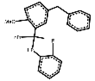 CCCC(C)(Pc1ccccc1F)c1cc(Cc2ccccc2)ccc1OC